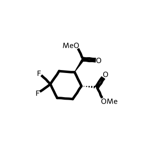 COC(=O)[C@@H]1CCC(F)(F)C[C@H]1C(=O)OC